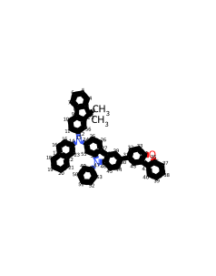 CC1(C)c2ccccc2-c2ccc(N(c3ccc4ccccc4c3)c3ccc4c5cc(-c6ccc7oc8ccccc8c7c6)ccc5n(-c5ccccc5)c4c3)cc21